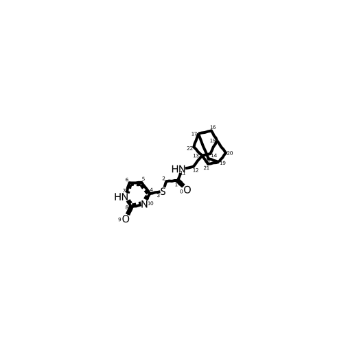 O=C(CSc1cc[nH]c(=O)n1)NCC12CC3CC(CC(C3)C1)C2